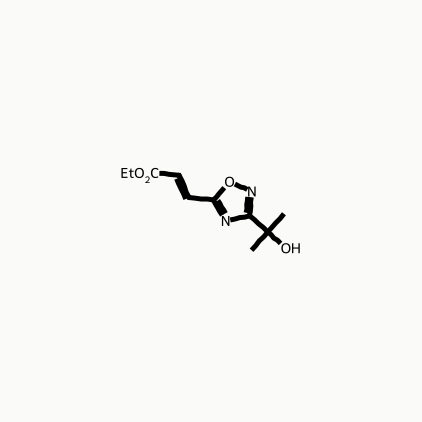 CCOC(=O)/C=C/c1nc(C(C)(C)O)no1